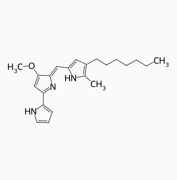 CCCCCCCc1cc(/C=C2\N=C(c3ccc[nH]3)C=C2OC)[nH]c1C